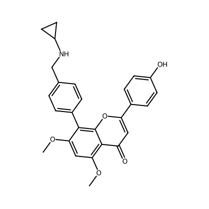 COc1cc(OC)c2c(=O)cc(-c3ccc(O)cc3)oc2c1-c1ccc(CNC2CC2)cc1